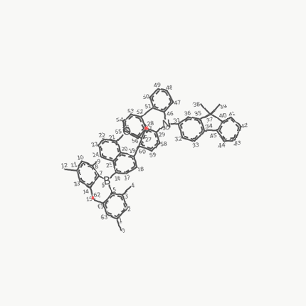 Cc1cc(C)c(B(c2c(C)cc(C)cc2C)c2ccc3c4c(cccc24)Oc2cc(N(c4ccc5c(c4)C(C)(C)c4ccccc4-5)c4ccccc4-c4ccccc4)ccc2-3)c(C)c1